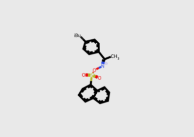 CCC(C)c1ccc(/C(C)=N\OS(=O)(=O)c2cccc3ccccc23)cc1